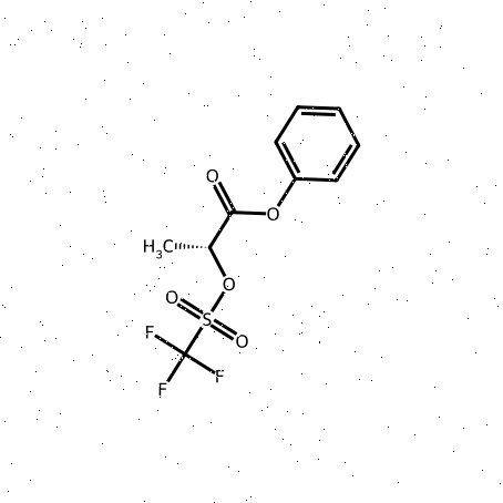 C[C@@H](OS(=O)(=O)C(F)(F)F)C(=O)Oc1ccccc1